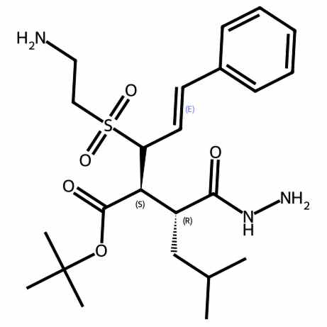 CC(C)C[C@@H](C(=O)NN)[C@@H](C(=O)OC(C)(C)C)C(/C=C/c1ccccc1)S(=O)(=O)CCN